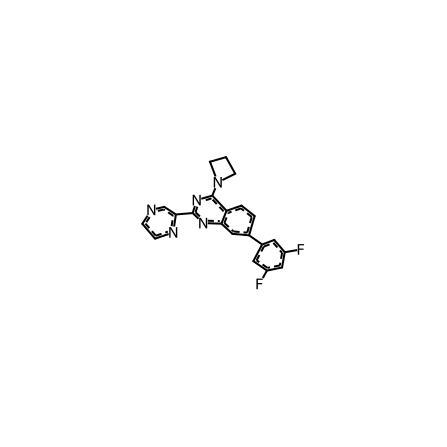 Fc1cc(F)cc(-c2ccc3c(N4CCC4)nc(-c4cnccn4)nc3c2)c1